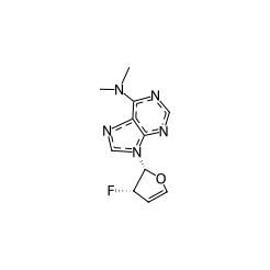 CN(C)c1ncnc2c1ncn2[C@@H]1OC=C[C@@H]1F